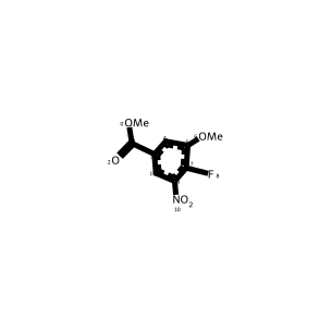 COC(=O)c1cc(OC)c(F)c([N+](=O)[O-])c1